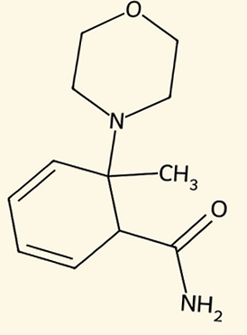 CC1(N2CCOCC2)C=CC=CC1C(N)=O